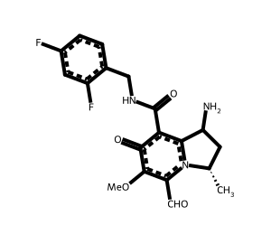 COc1c(C=O)n2c(c(C(=O)NCc3ccc(F)cc3F)c1=O)C(N)C[C@@H]2C